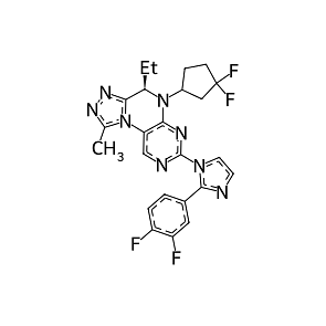 CC[C@@H]1c2nnc(C)n2-c2cnc(-n3ccnc3-c3ccc(F)c(F)c3)nc2N1C1CCC(F)(F)C1